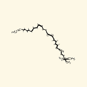 CCCCCCCC/C=C\CCCCCCCCCNCCC(C)(C)C